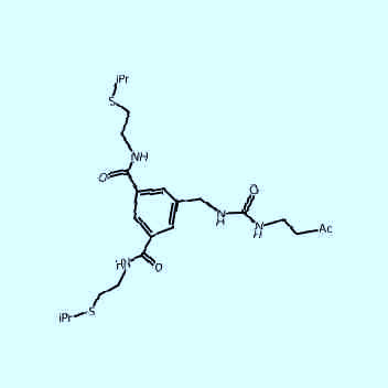 CC(=O)CCNC(=O)NCc1cc(C(=O)NCCSC(C)C)cc(C(=O)NCCSC(C)C)c1